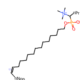 CCCCCCCCC/C=C\CCCCCCCCCCCCCOP(=O)(O)C(CCC)[N+](C)(C)C